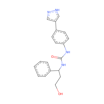 O=C(Nc1ccc(-c2cn[nH]c2)cc1)NC(CCO)c1ccccc1